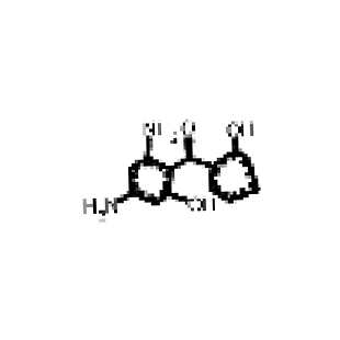 Nc1cc(N)c(C(=O)c2ccccc2O)c(O)c1